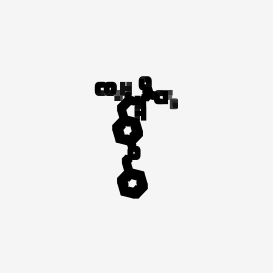 O=C(O)[C@H](Cc1ccc(OCc2ccccc2)cc1)NC(=O)C(F)(F)F